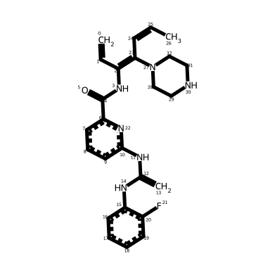 C=C/C(NC(=O)c1cccc(NC(=C)Nc2ccccc2F)n1)=C(\C=C/C)N1CCNCC1